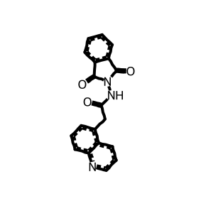 O=C(Cc1cccc2ncccc12)NN1C(=O)c2ccccc2C1=O